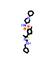 Cc1ccc(-c2sc(NCC3CCCCC3)nc2C)cc1S(=O)(=O)NC1CCN(C2CCCCC2)CC1